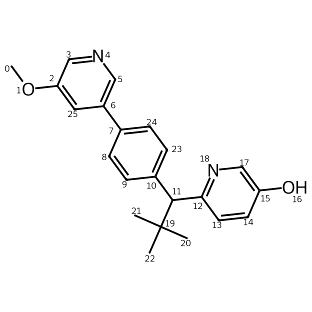 COc1cncc(-c2ccc(C(c3ccc(O)cn3)C(C)(C)C)cc2)c1